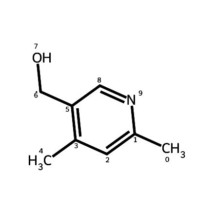 Cc1cc(C)c([CH]O)cn1